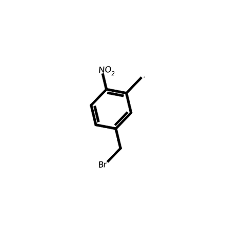 [CH2]c1cc(CBr)ccc1[N+](=O)[O-]